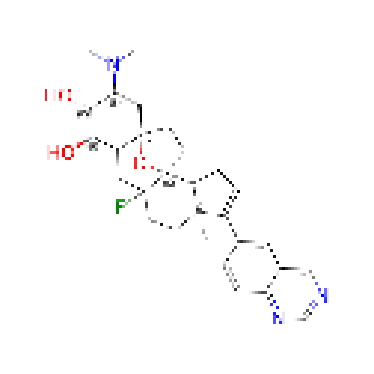 CN(C)[C@H]1C[C@@]23CC[C@]4(O2)C2CC=C(c5ccc6ncncc6c5)[C@@]2(C)CCC4(F)CC3[C@@H](O)[C@@H]1O